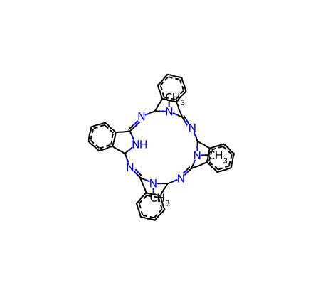 CN1/C2=N\C3c4ccccc4/C(=N/C4c5ccccc5/C(=N/C5N/C(=N\C1c1ccccc12)c1ccccc15)N4C)N3C